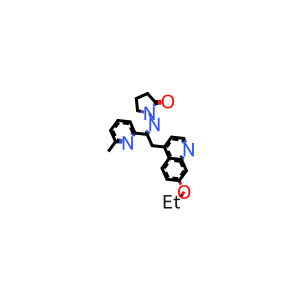 CCOc1ccc2c(CC(=NN3CCCC3=O)c3cccc(C)n3)ccnc2c1